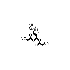 N#CCC(=O)OC(C=C[SiH2]O[SiH3])OC(=O)CC#N